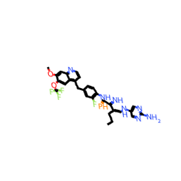 CCC/C(=C/Nc1cnc(N)nc1)C(=N)C(=P)Nc1ccc(Cc2ccnc3cc(OC)c(OC(F)(F)F)cc23)cc1F